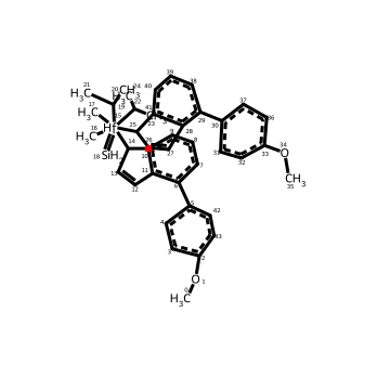 COc1ccc(-c2cccc3c2C=C[CH]3[Hf]([CH3])([CH3])(=[SiH2])([CH](C)C)([CH](C)C)[CH]2C=Cc3c(-c4ccc(OC)cc4)cccc32)cc1